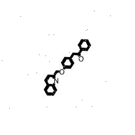 O=C(Cc1ccc(OCc2ccc3ccccc3n2)cc1)c1ccccc1